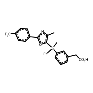 CCS(C)(c1cccc(CC(=O)O)c1)c1oc(-c2ccc(C(F)(F)F)cc2)nc1C